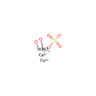 O=S(=O)([O-])[O-].O=[N+]([O-])[O-].O=[N+]([O-])[O-].[Ca+2].[Co+2]